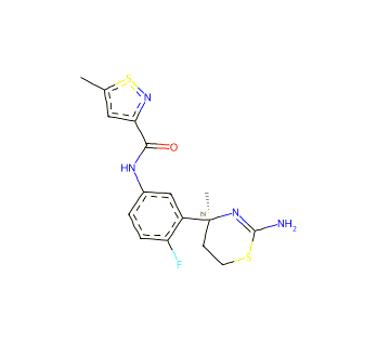 Cc1cc(C(=O)Nc2ccc(F)c([C@]3(C)CCSC(N)=N3)c2)ns1